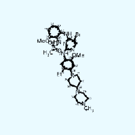 CCc1cc(Nc2ncc(Br)c(Nc3cccc(OC)c3NS(C)(=O)=O)n2)c(OC)cc1N1CCC(N2CCN(C)CC2)CC1